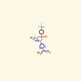 C[C@H]1CC(O)(c2ccc(C(F)(F)F)cc2)C[C@@H](c2cnc(N(C)C)nc2)N1